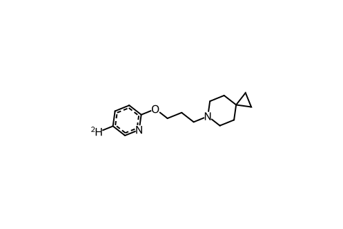 [2H]c1ccc(OCCCN2CCC3(CC2)CC3)nc1